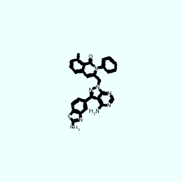 Cc1cccc2cc(Cn3nc(-c4ccc5sc(N)nc5c4)c4c(N)ncnc43)n(-c3ccccc3)c(=O)c12